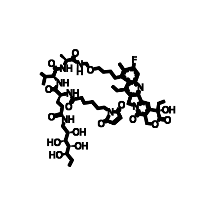 CCc1c2c(nc3cc(F)c(C)c(CCCCOCNC(=O)[C@H](C)NC(=O)[C@@H](NC(=O)[C@H](CCC(=O)NC[C@H](O)[C@@H](O)[C@H](O)[C@H](O)CC)NC(=O)CCCCCN4C(=O)C=CC4=O)C(C)C)c13)-c1cc3c(c(=O)n1C2)COC(=O)[C@]3(O)CC